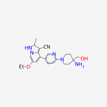 CCOC1=CN2NC(C)C(C#N)=C2C(c2ccc(N3CCC(N)(CO)CC3)nc2)=C1